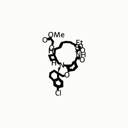 CC[C@@H]1CC/C=C/[C@H](OCC(=O)OC)[C@@H]2CC[C@H]2CN2C[C@@]3(CCCc4cc(Cl)ccc43)COc3ccc(cc32)C(=O)NS1(=O)=O